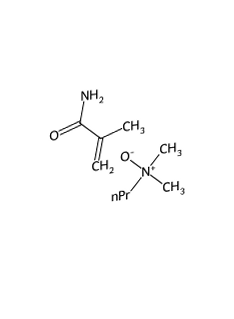 C=C(C)C(N)=O.CCC[N+](C)(C)[O-]